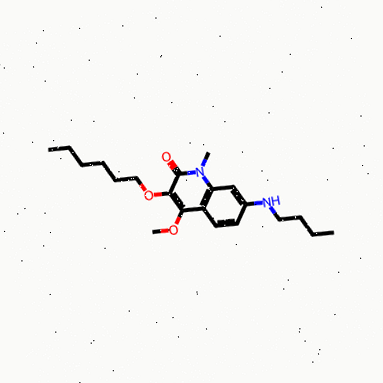 CCCCCCOc1c(OC)c2ccc(NCCCC)cc2n(C)c1=O